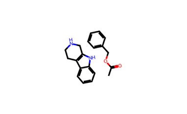 CC(=O)OCc1ccccc1.c1ccc2c3c([nH]c2c1)CNCC3